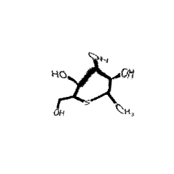 CC1SC(CO)[C@@H](O)C(O)[C@H]1O